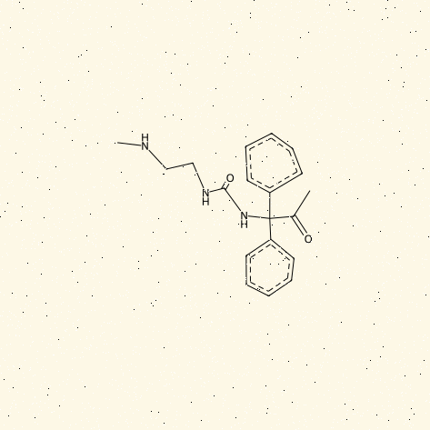 CNCCNC(=O)NC(C(C)=O)(c1ccccc1)c1ccccc1